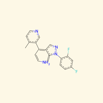 C=c1/c(=C(\C=C/N)c2cnccc2C)cnn1-c1ccc(F)cc1F